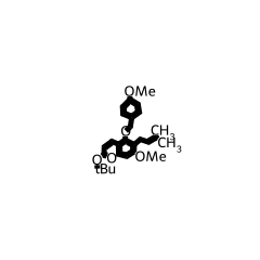 COc1ccc(COc2c(/C=C\C(=O)OC(C)(C)C)ccc(OC)c2CC=C(C)C)cc1